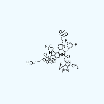 C[C@@H]1c2c(C(F)(F)F)nn(CC(=O)N[C@@H](Cc3cc(F)cc(F)c3)c3nc(CCC(C)(C)S(C)(=O)=O)ccc3-c3ccc(Cl)c4c(N(C(=O)OCCCCO)S(C)(=O)=O)nn(CC(F)(F)F)c34)c2C(F)(F)[C@@H]1C